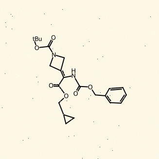 CC(C)(C)OC(=O)N1CC(=C(NC(=O)OCc2ccccc2)C(=O)OCC2CC2)C1